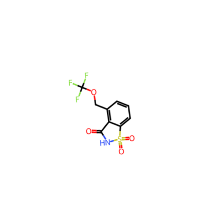 O=C1NS(=O)(=O)c2cccc(COC(F)(F)F)c21